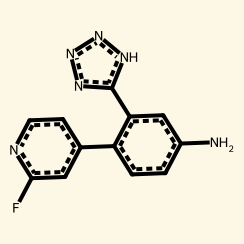 Nc1ccc(-c2ccnc(F)c2)c(-c2nnn[nH]2)c1